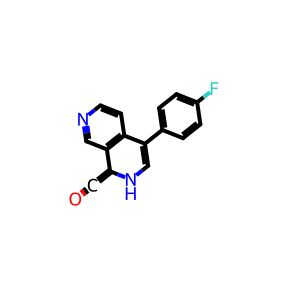 O=C=C1NC=C(c2ccc(F)cc2)c2ccncc21